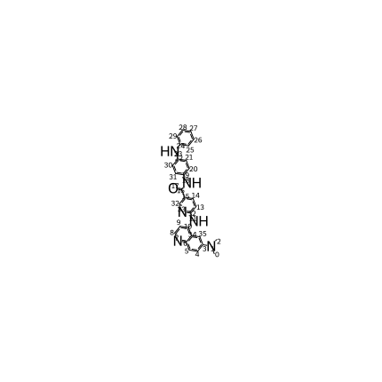 CN(C)c1ccc2nccc(Nc3ccc(C(=O)Nc4ccc(Nc5ccccc5)cc4)cn3)c2c1